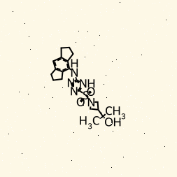 CC(C)(O)C1CN(S(=O)(=O)c2nnc(Nc3c4c(cc5c3CCC5)CCC4)[nH]2)C1